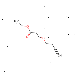 C#CCCOCCC(=O)OCC